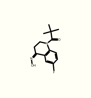 CC(C)(C)C(=O)N1CC/C(=N/O)c2cc(F)ccc21